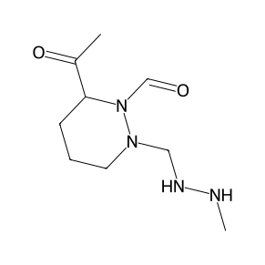 CNNCN1CCCC(C(C)=O)N1C=O